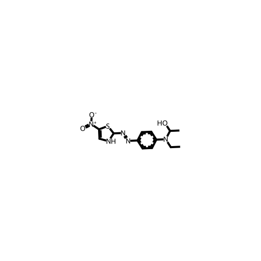 CCN(c1ccc(/N=N/C2NC=C([N+](=O)[O-])S2)cc1)C(C)O